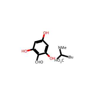 CCC(C)C(NC)C(=O)O.O=Cc1c(O)cc(O)cc1O